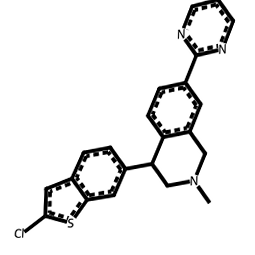 CN1Cc2cc(-c3ncccn3)ccc2C(c2ccc3cc(Cl)sc3c2)C1